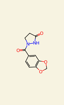 O=C1CCN(C(=O)c2ccc3c(c2)OCO3)N1